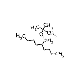 CCCCC(CCCC)[SiH2]OC(C)(C)C